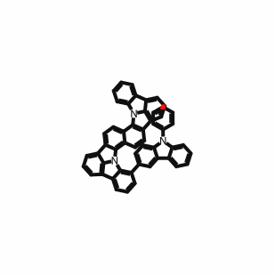 c1ccc(-n2c3ccccc3c3cc(-c4cccc5c6cccc7c8ccc9c(ccc%10c%11cccc%12c%13ccccc%13n(c%12%11)c%109)c8n(c45)c67)ccc32)cc1